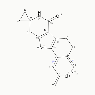 C=C(Cl)/N=C1\C(=C/N)CCc2c1[nH]c1c2C(=O)NC2(CC2)C1